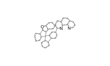 c1ccc2c(c1)-c1ccc(-c3ccc4ccc5cccnc5c4n3)cc1C21c2ccccc2-c2oc3ccccc3c21